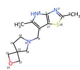 Cc1nc2[nH]c(C)c(CN3CCC4(COC4)C3)c2s1